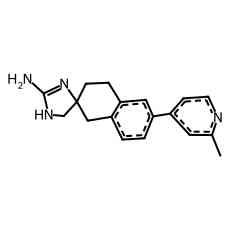 Cc1cc(-c2ccc3c(c2)CCC2(CNC(N)=N2)C3)ccn1